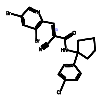 N#C/C(=C\c1ncc(Br)cc1Br)C(=O)NC1(c2ccc(Cl)cc2)CCCC1